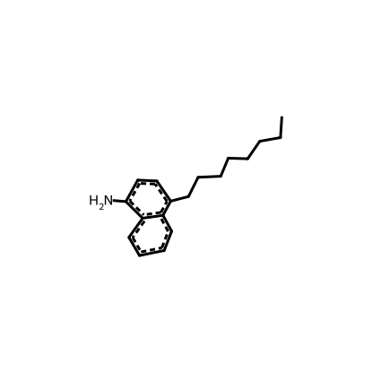 CCCCCCCCc1ccc(N)c2ccccc12